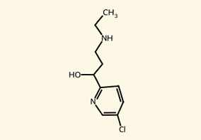 CCNCCC(O)c1ccc(Cl)cn1